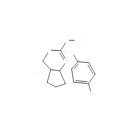 COc1ccc([N+](=O)[O-])cc1[C@]12CCC[C@H]1CSC(NC(=O)O)=N2